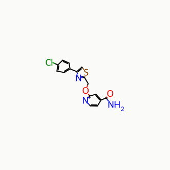 NC(=O)c1ccnc(OCc2nc(-c3ccc(Cl)cc3)cs2)c1